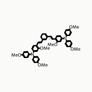 COc1ccc(N(c2ccc(OC)cc2)c2ccc(/C=C/C3=CCCC(/C=C/c4ccc(N(c5ccc(OC)cc5)c5ccc(OC)cc5)cc4OC)=C3)c(OC)c2)cc1